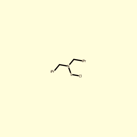 CC(C)CN(CC(C)C)SCl